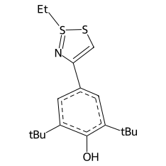 CCS1=NC(c2cc(C(C)(C)C)c(O)c(C(C)(C)C)c2)=CS1